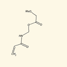 C=CC(=O)NCOC(=O)COC